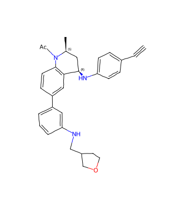 C#Cc1ccc(N[C@@H]2C[C@H](C)N(C(C)=O)c3ccc(-c4cccc(NCC5CCOC5)c4)cc32)cc1